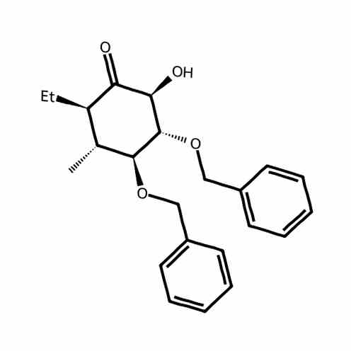 CC[C@H]1C(=O)[C@@H](O)[C@H](OCc2ccccc2)[C@@H](OCc2ccccc2)[C@@H]1C